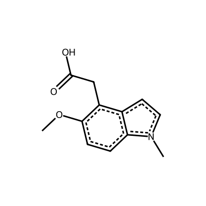 COc1ccc2c(ccn2C)c1CC(=O)O